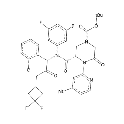 CC(C)(C)OC(=O)N1CC(=O)N(c2cc(C#N)ccn2)[C@H](C(=O)N(c2cc(F)cc(F)c2)[C@H](C(=O)CC2CC(F)(F)C2)c2ccccc2Cl)C1